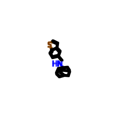 c1cc2cc(CNC34CC5CC(CC(C5)C3)C4)ccc2s1